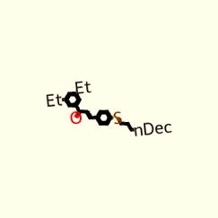 CCCCCCCCCCCCCSc1ccc(C=CC(=O)c2cc(CC)cc(CC)c2)cc1